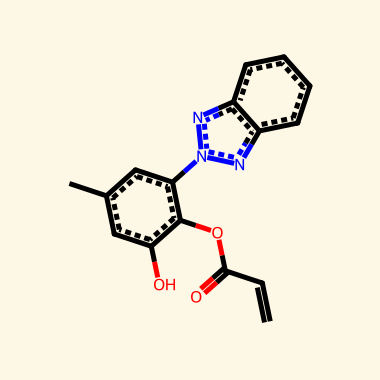 C=CC(=O)Oc1c(O)cc(C)cc1-n1nc2ccccc2n1